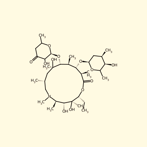 CC[C@H]1OC(=O)[C@H](C)[C@@H](O[C@H]2C[C@@H](C)[C@@H](O)C(C)O2)[C@H](C)[C@@H](O[C@@H]2OC(C)CC(=O)C2O)[C@](C)(O)C[C@@H](C)CN(C)[C@H](C)[C@@H](O)[C@]1(C)O